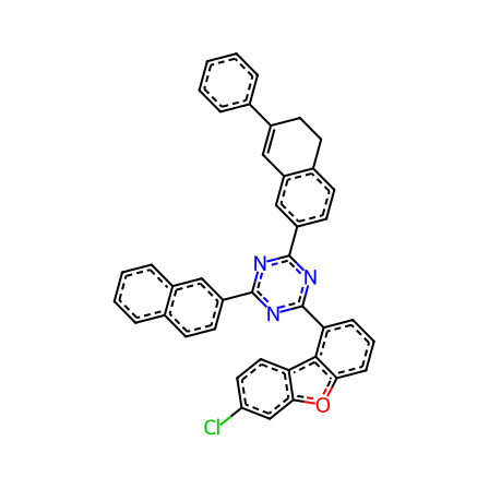 Clc1ccc2c(c1)oc1cccc(-c3nc(-c4ccc5c(c4)C=C(c4ccccc4)CC5)nc(-c4ccc5ccccc5c4)n3)c12